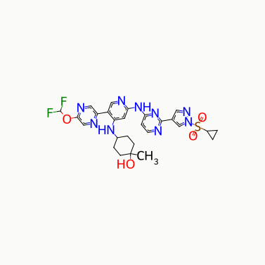 CC1(O)CCC(Nc2cc(Nc3ccnc(-c4cnn(S(=O)(=O)C5CC5)c4)n3)ncc2-c2cnc(OC(F)F)cn2)CC1